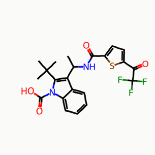 CC(NC(=O)c1ccc(C(=O)C(F)(F)F)s1)c1c(C(C)(C)C)n(C(=O)O)c2ccccc12